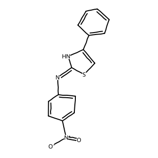 O=[N+]([O-])c1ccc(N=c2[nH]c(-c3ccccc3)cs2)cc1